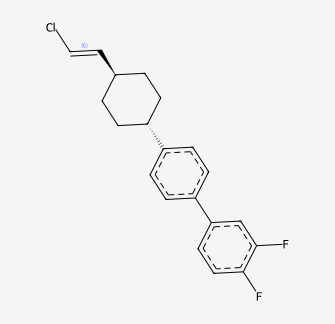 Fc1ccc(-c2ccc([C@H]3CC[C@H](/C=C/Cl)CC3)cc2)cc1F